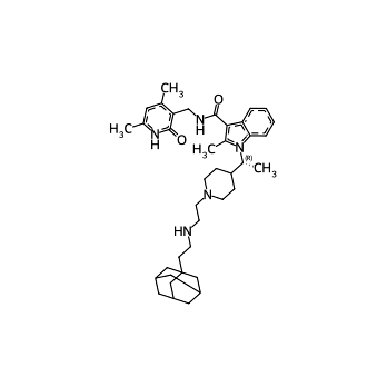 Cc1cc(C)c(CNC(=O)c2c(C)n([C@H](C)C3CCN(CCNCCC45CC6CC(CC(C6)C4)C5)CC3)c3ccccc23)c(=O)[nH]1